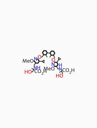 COc1nc(OCc2cccc(-c3cccc(COc4nc(OC)c(CN[C@](C)(CO)C(=O)O)cc4C4CC4)c3C)c2C)c(C2CC2)cc1CN[C@](C)(CO)C(=O)O